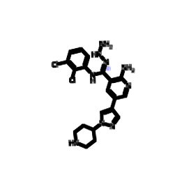 NN/N=C(\Nc1cccc(Cl)c1Cl)c1cc(-c2cnn(C3CCNCC3)c2)cnc1N